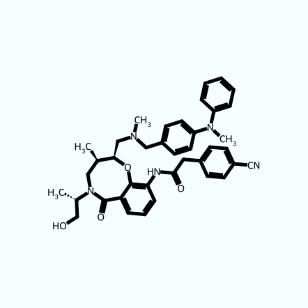 C[C@@H]1CN([C@@H](C)CO)C(=O)c2cccc(NC(=O)Cc3ccc(C#N)cc3)c2O[C@@H]1CN(C)Cc1ccc(N(C)c2ccccc2)cc1